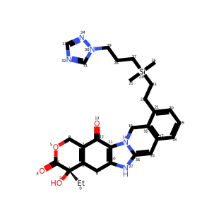 CC[C@@]1(O)C(=O)OCC2=C1CC1=C(C2=O)N2Cc3c(cccc3CC[Si](C)(C)CCCn3cncn3)C=C2N1